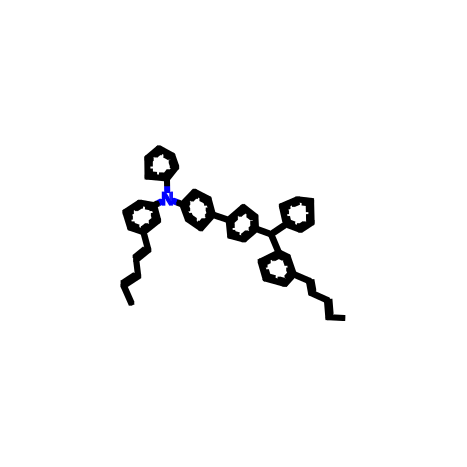 C/C=C/C=C/c1cccc(C(c2ccccc2)c2ccc(-c3ccc(N(c4ccccc4)c4cccc(/C=C/C=C/C)c4)cc3)cc2)c1